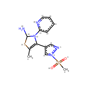 CC1=C(c2cnn(S(C)(=O)=O)c2)N(c2ccccn2)C(N)S1